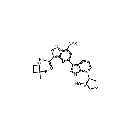 CNc1cc(-c2cnc3n(C4COC[C@@H]4O)cccc2-3)nc2c(C(=O)N[C@H]3CCC3(F)F)cnn12